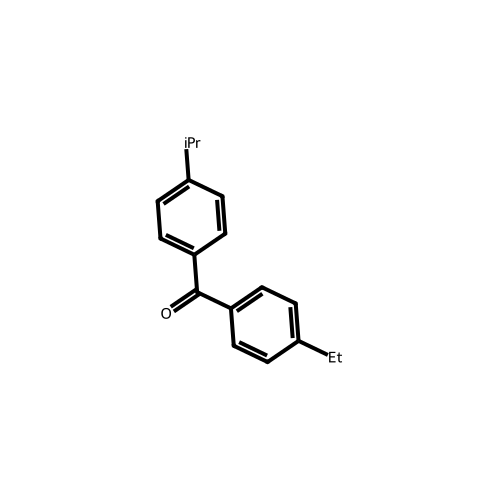 CCc1ccc(C(=O)c2ccc(C(C)C)cc2)cc1